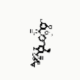 C[C@@H]1CN(Cc2cc(F)c(C(=O)NS(=O)(=O)C3CC3)cc2C2CC2)CCN1[C@H](C)c1cc(Cl)cc(Cl)c1